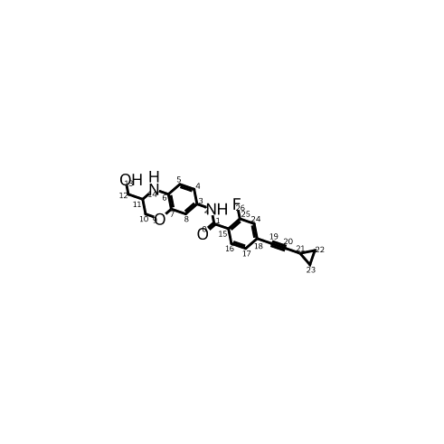 O=C(Nc1ccc2c(c1)OCC(CO)N2)c1ccc(C#CC2CC2)cc1F